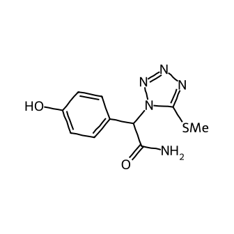 [CH2]Sc1nnnn1C(C(N)=O)c1ccc(O)cc1